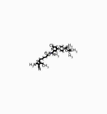 CCc1c(CCCCC(=O)O/N=C(\N)c2cc(N3CCN(C(=O)OC(C)(C)C)CC3)cc(Cl)n2)sc(N)c1C#N